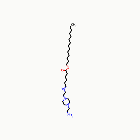 CCCCCCCCCCCCCCOC(=O)CCCCCNCCN1CCN(CCN)CC1